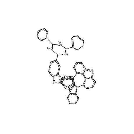 C1=CCCC(C2NC(c3ccccc3)NC(c3ccc4sc5cccc(-c6cccc7sc8cccc(-n9c%10ccccc%10c%10ccccc%109)c8c67)c5c4c3)N2)=C1